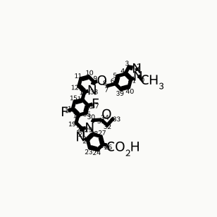 Cn1ncc2cc(COc3cccc(-c4cc(F)c(Cc5nc6ccc(C(=O)O)cc6n5CC5CCO5)cc4F)n3)ccc21